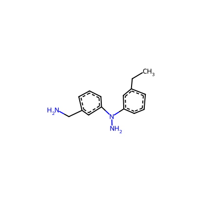 CCc1cccc(N(N)c2cccc(CN)c2)c1